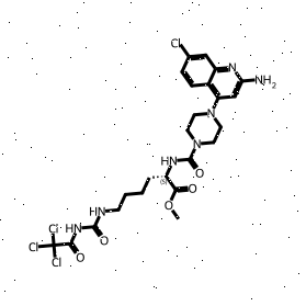 COC(=O)[C@H](CCCCNC(=O)NC(=O)C(Cl)(Cl)Cl)NC(=O)N1CCN(c2cc(N)nc3cc(Cl)ccc23)CC1